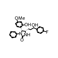 COc1ccc([C@@H]2[C@H](CC[C@H](O)c3ccc(F)cc3)NC(=O)N2c2ccccc2)c(O)c1